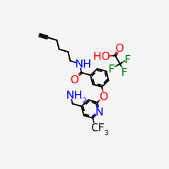 C#CCCCCNC(=O)c1cccc(Oc2cc(CN)cc(C(F)(F)F)n2)c1.O=C(O)C(F)(F)F